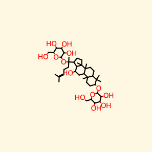 CC(C)=CCCC(C)(OC1OC(CO)C(O)C(O)C1O)C1CCC2(C)C1C(O)CC1C3(C)CCC(OC4OC(CO)C(O)C(O)C4O)C(C)(C)C3CCC12C